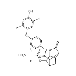 O=C1OC2C3CC(C2OC(=O)C(F)(F)S(=O)(=O)O)C(C(=O)Oc2ccc(Oc4cc(I)c(O)cc4I)cc2)C13